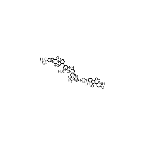 C[C@H]1CN([C@@H]2C[C@@]23CCN(c2ccc(Nc4cc(-c5ccnc(N6CCn7c(cc8c7CC(C)(C)C8)C6=O)c5CO)cn(C)c4=O)nc2)[C@@H](C(C)(C)C)C3)CCN1c1ccc2c(c1)C(=O)N(C1CCC(=O)NC1=O)C2=O